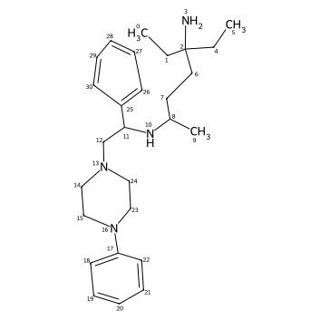 CCC(N)(CC)CCC(C)NC(CN1CCN(c2ccccc2)CC1)c1ccccc1